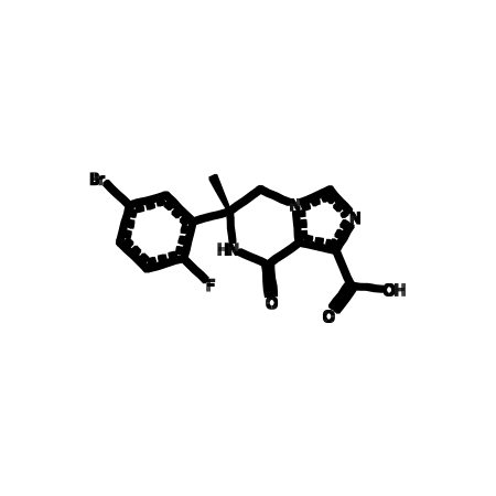 C[C@@]1(c2cc(Br)ccc2F)Cn2cnc(C(=O)O)c2C(=O)N1